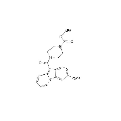 COc1ccc2c(C(=O)N3CCN(C(=O)OC(C)(C)C)CC3)c3ccccn3c2c1